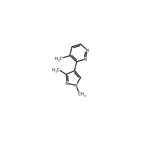 Cc1ccnnc1-c1cn(C)nc1C